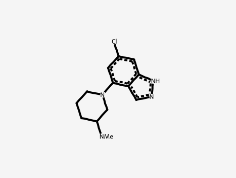 CNC1CCCN(c2cc(Cl)cc3[nH]ncc23)C1